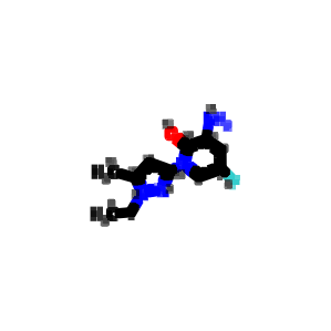 CCn1nc(-n2cc(F)cc(N)c2=O)cc1C